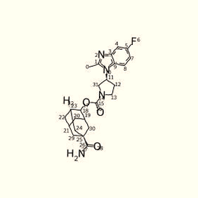 Cc1nc2cc(F)ccc2n1[C@H]1CCN(C(=O)OC2C3CC4C[C@@H]2C[C@@](C(N)=O)(C4)C3)C1